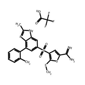 CSc1sc(C(=N)N)cc1S(=O)(=O)c1cc(-c2ccccc2C)c2nc(C)[nH]c2c1.O=C(O)C(F)(F)F